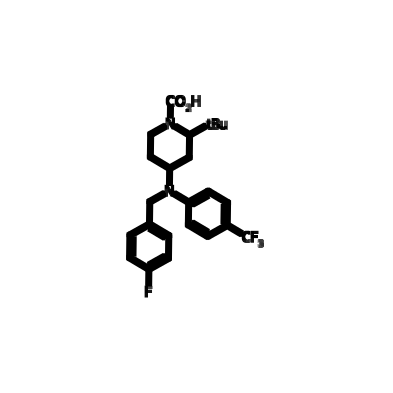 CC(C)(C)C1CC(N(Cc2ccc(F)cc2)c2ccc(C(F)(F)F)cc2)CCN1C(=O)O